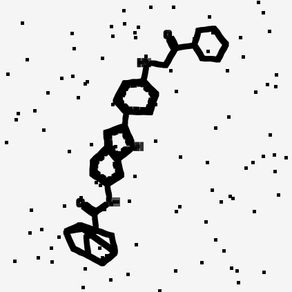 O=C(CNc1ccc(-c2cc3ccc(NC(=O)C45CC6CC(CC(C6)C4)C5)cc3[nH]2)cc1)C1CCCCC1